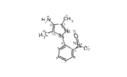 Cc1nn(-c2ccccc2[N+](=O)[O-])c(C)c1N